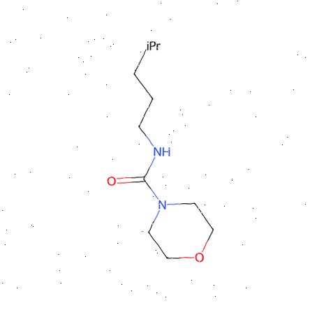 CC(C)CCCNC(=O)N1CCOCC1